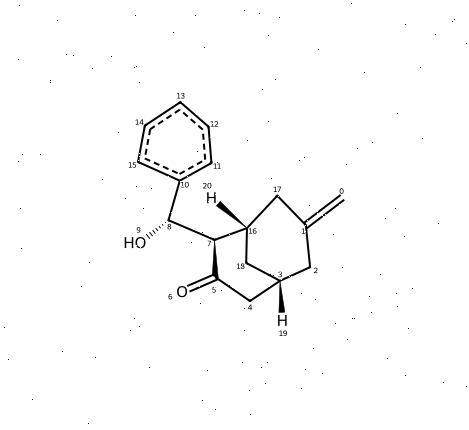 C=C1C[C@@H]2CC(=O)[C@@H]([C@H](O)c3ccccc3)[C@H](C1)C2